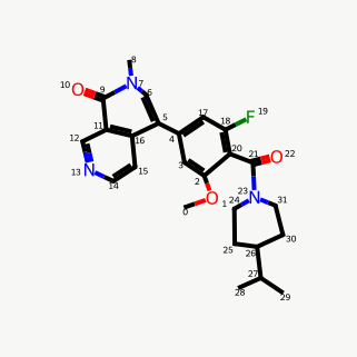 COc1cc(-c2cn(C)c(=O)c3cnccc23)cc(F)c1C(=O)N1CCC(C(C)C)CC1